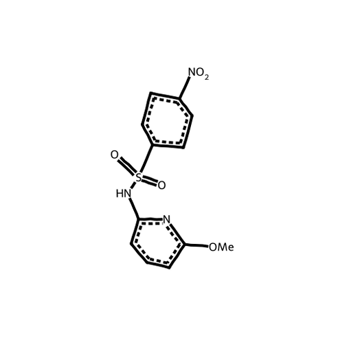 COc1cccc(NS(=O)(=O)c2ccc([N+](=O)[O-])cc2)n1